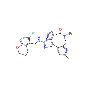 Cc1ccc2c(n1)CN(C(C)C)C(=O)c1ncn3c(NCc4c(F)ccc5c4CCCO5)ncc-2c13